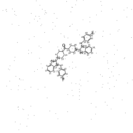 O=C(C1CCN(c2nc3ccccc3n2Cc2ccc(F)cc2)CC1)C1CCN(c2nc3ccccc3n2Cc2ccc(F)cc2)CC1